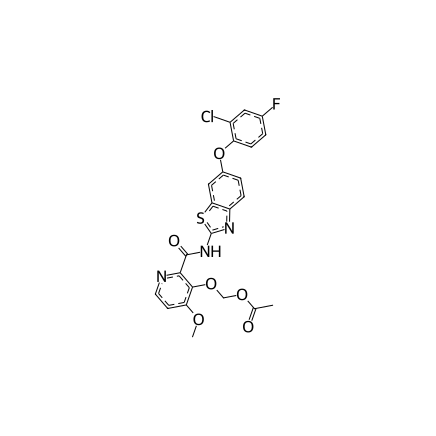 COc1ccnc(C(=O)Nc2nc3ccc(Oc4ccc(F)cc4Cl)cc3s2)c1OCOC(C)=O